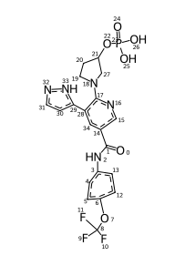 O=C(Nc1ccc(OC(F)(F)F)cc1)c1cnc(N2CCC(OP(=O)(O)O)C2)c(-c2ccn[nH]2)c1